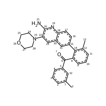 Cc1cccc(C(=O)c2cccc(C)c2-c2ccc3nc(N)c(N4CCOCC4)cc3c2)c1